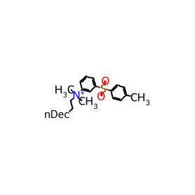 CCCCCCCCCCCC[N+](C)(C)c1cccc(S(=O)(=O)c2ccc(C)cc2)c1